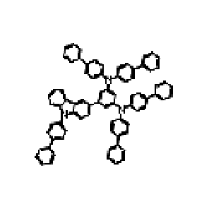 c1ccc(-c2ccc(N(c3ccc(-c4ccccc4)cc3)c3cc(-c4ccc5c(c4)c4ccccc4n5-c4ccc(-c5ccccc5)cc4)cc(N(c4ccc(-c5ccccc5)cc4)c4ccc(-c5ccccc5)cc4)c3)cc2)cc1